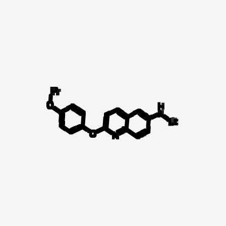 CCNc1ccc2nc(Oc3ccc(OC(C)C)cc3)ccc2c1